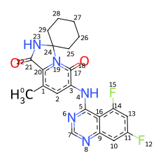 Cc1cc(Nc2ncnc3cc(F)cc(F)c23)c(=O)n2c1C(=O)NC21CCCCC1